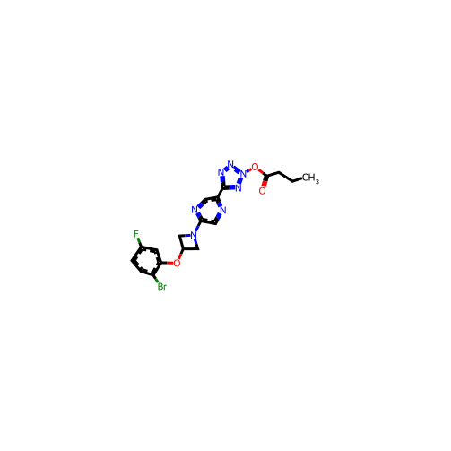 CCCC(=O)On1nnc(-c2cnc(N3CC(Oc4cc(F)ccc4Br)C3)cn2)n1